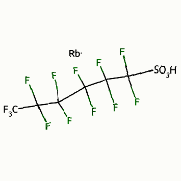 O=S(=O)(O)C(F)(F)C(F)(F)C(F)(F)C(F)(F)C(F)(F)C(F)(F)F.[Rb]